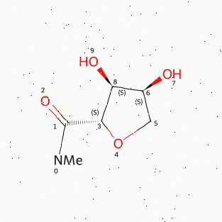 CNC(=O)[C@H]1OC[C@H](O)[C@@H]1O